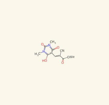 COC(=O)C(C#N)=Cc1c(O)n(C)c(=O)n(C)c1=O